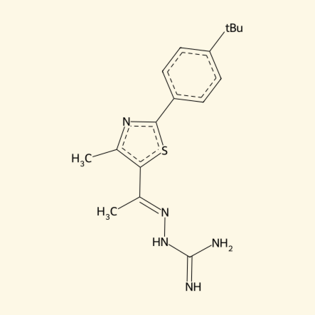 CC(=NNC(=N)N)c1sc(-c2ccc(C(C)(C)C)cc2)nc1C